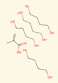 C=C(C)C(=O)O.OCCCCO.OCCCCO.OCCCCO.OCCCCO